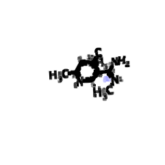 C/N=C(/N)c1cnc(C)cc1C